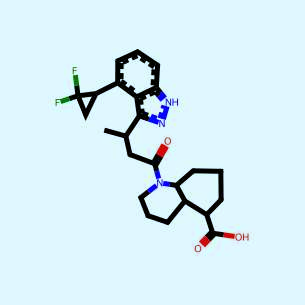 CC(CC(=O)N1CCCC2C(C(=O)O)CCCC21)c1n[nH]c2cccc(C3CC3(F)F)c12